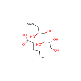 CCCCCC(=O)O.CNC[C@H](O)[C@@H](O)[C@H](O)[C@H](O)CO